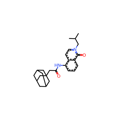 CC(C)Cn1ccc2c(NC(=O)CC34CC5CC(CC(C5)C3)C4)cccc2c1=O